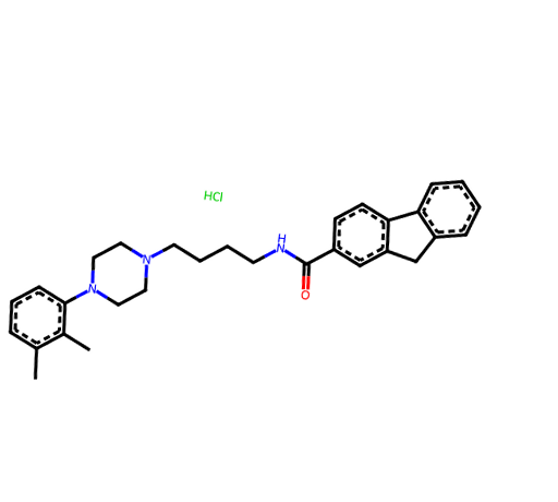 Cc1cccc(N2CCN(CCCCNC(=O)c3ccc4c(c3)Cc3ccccc3-4)CC2)c1C.Cl